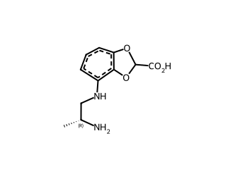 C[C@@H](N)CNc1cccc2c1OC(C(=O)O)O2